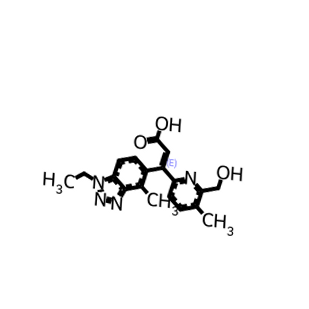 CCn1nnc2c(C)c(/C(=C\C(=O)O)c3ccc(C)c(CO)n3)ccc21